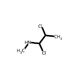 CNC(Cl)C(C)Cl